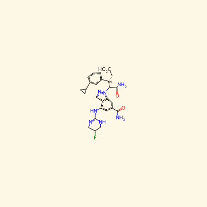 NC(=O)c1cc(NC2=NCC(F)CN2)c2cnn(C(C(N)=O)[C@@H](CC(=O)O)c3cccc(C4CC4)c3)c2c1